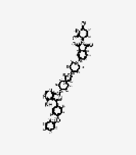 Nc1ncnc2c1c(-c1ccc(Oc3ccccc3)cc1)nn2C1CCC2(CC1)CN(C1CCN(c3ccc4c(c3)C(=O)N(C3CCC(=O)NC3=O)C4=O)CC1)C2